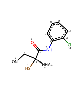 CC(=O)N[C@@](S)(CN=O)C(=O)Nc1ccccc1Cl